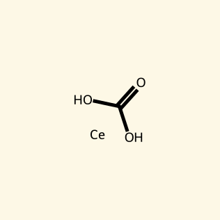 O=C(O)O.[Ce]